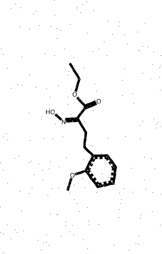 CCOC(=O)C(CCc1ccccc1OC)=NO